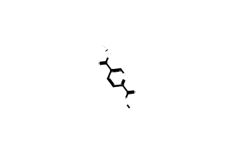 COC(=O)c1ccc(C(=O)N=N)cn1